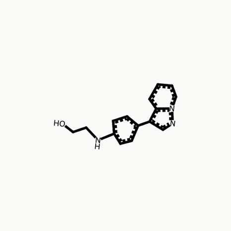 OCCNc1ccc(-c2cnn3ccccc23)cc1